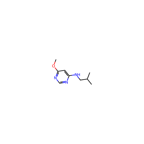 COc1cc(NCC(C)C)ncn1